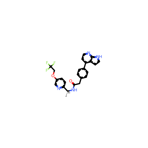 C[C@@H](NC(=O)Cc1ccc(-c2ccnc3[nH]ccc23)cc1)c1ccc(OCC(F)(F)F)cn1